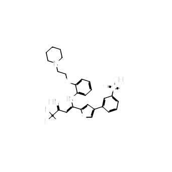 CS(=O)(=O)c1cccc(-c2csc(/C(=C/C(=N)C(F)(F)F)Nc3ccccc3OCCN3CCCCC3)c2)c1